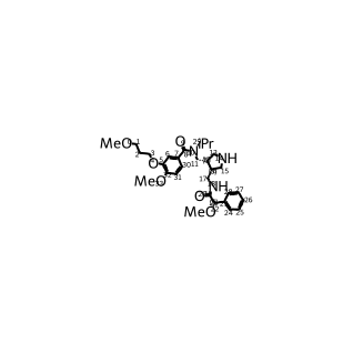 COCCCOc1cc(C(=O)N(C[C@@H]2CNC[C@H]2CNC(=O)[C@@H](OC)c2ccccc2)C(C)C)ccc1OC